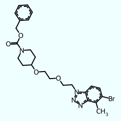 Cc1c(Br)ccc2c1nnn2CCOCCOC1CCN(C(=O)OCc2ccccc2)CC1